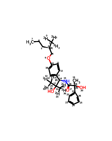 [2H]C([2H])([2H])[C@H](CCC)COc1ccc([C@@H](NC(=O)[C@](C)(O)c2ccccc2)C(O)(C([2H])([2H])[2H])C([2H])([2H])[2H])cc1